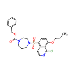 CCCOc1ccc(S(=O)(=O)N2CCCN(C(=O)OCc3ccccc3)CC2)c2ccnc(Cl)c12